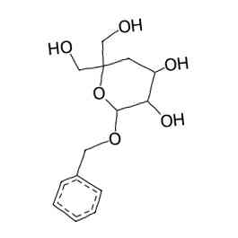 OCC1(CO)CC(O)C(O)C(OCc2ccccc2)O1